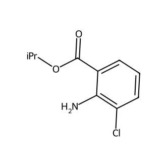 CC(C)OC(=O)c1cccc(Cl)c1N